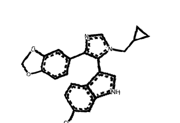 Clc1ccc2c(-c3c(-c4ccc5c(c4)OCO5)ncn3CC3CC3)c[nH]c2c1